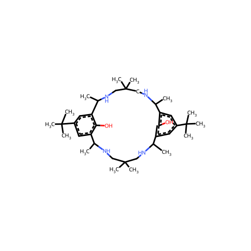 CC1NCC(C)(C)CNC(C)c2cc(C(C)(C)C)cc(c2O)C(C)NCC(C)(C)CNC(C)c2cc(C(C)(C)C)cc1c2O